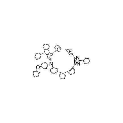 c1ccc(Oc2ccc(N3c4cccc(c4)-c4ccccc4-c4cccc(c4)-c4nc(-c5ccccc5)nc(n4)-c4ccc(cc4)-c4cccc(c4)-c4cc3cc3c4-c4ccccc4C3c3ccccc3)cc2)cc1